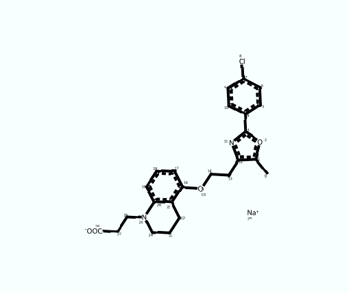 Cc1oc(-c2ccc(Cl)cc2)nc1CCOc1cccc2c1CCCN2CCC(=O)[O-].[Na+]